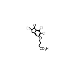 CCC1Cc2cc(OCCCC(=O)O)c(Cl)c(Cl)c2C1=O